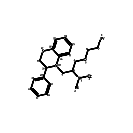 CCN(CC)C(COCCC(C)C)CN1c2ccccc2SCC1c1ccccc1